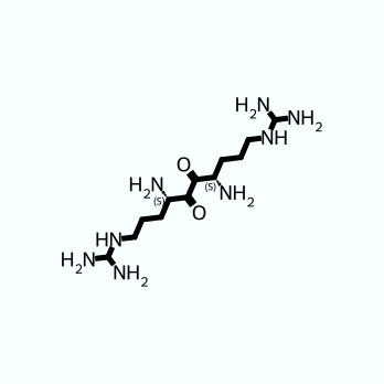 NC(N)NCCC[C@H](N)C(=O)C(=O)[C@@H](N)CCCNC(N)N